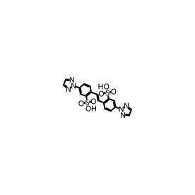 O=S(=O)(O)c1cc(-n2nccn2)ccc1C=Cc1ccc(-n2nccn2)cc1S(=O)(=O)O